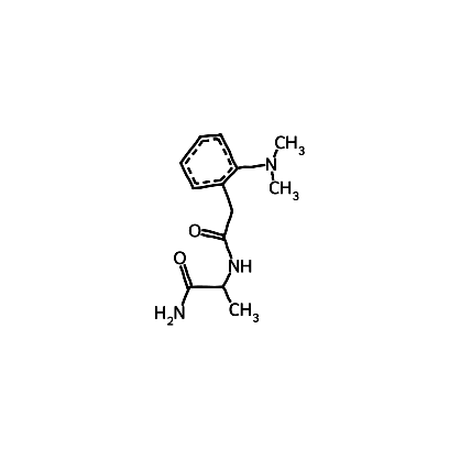 CC(NC(=O)Cc1ccccc1N(C)C)C(N)=O